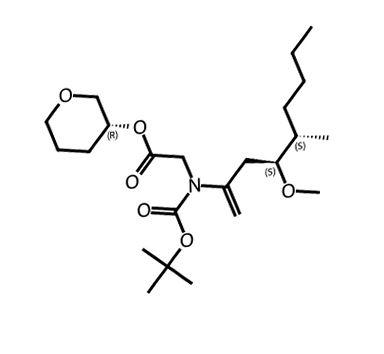 C=C(C[C@H](OC)[C@@H](C)CCCC)N(CC(=O)O[C@@H]1CCCOC1)C(=O)OC(C)(C)C